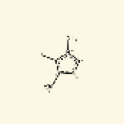 Cc1c(C(C)(C)C)ncn1N